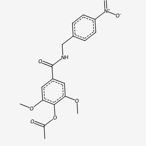 COc1cc(C(=O)NCc2ccc([N+](=O)[O-])cc2)cc(OC)c1OC(C)=O